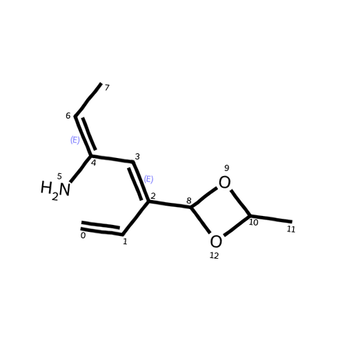 C=C/C(=C\C(N)=C/C)C1OC(C)O1